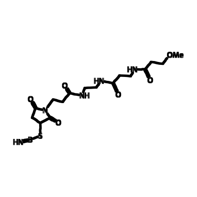 COCCC(=O)NCCC(=O)NCCNC(=O)CCN1C(=O)CC(SB=N)C1=O